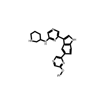 CC(C)Oc1cncc(-c2ccc3[nH]cc(-c4cncc(NC5CCCNC5)n4)c3c2)n1